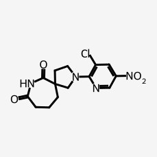 O=C1CCCC2(CCN(c3ncc([N+](=O)[O-])cc3Cl)C2)C(=O)N1